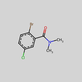 CN(C)C(=O)c1cc(Cl)ccc1Br